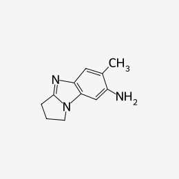 Cc1cc2nc3n(c2cc1N)CCC3